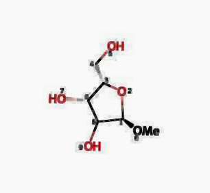 CO[C@@H]1O[C@@H](CO)[C@@H](O)C1O